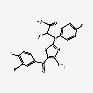 CC(C(N)=O)N(c1ccc(F)cc1)c1nc(N)c(C(=O)c2ccc(F)c(F)c2)s1